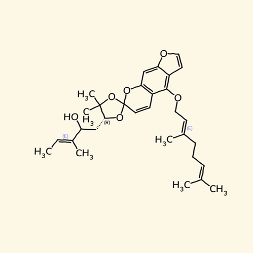 C/C=C(\C)C(O)C[C@H]1OC2(C=Cc3c(cc4occc4c3OC/C=C(\C)CCC=C(C)C)O2)OC1(C)C